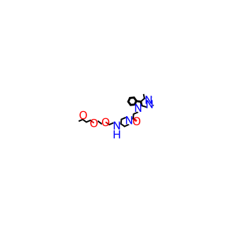 CC(=O)CCOCCOCCNC1CCN(C(=O)CCn2c3c(c4ccccc42)C(C)N(C)N(C)C3)CC1